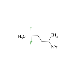 CCCC(C)CCC(C)(F)F